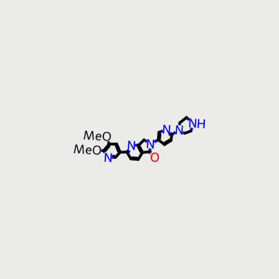 COc1cc(-c2ccc3c(n2)CN(c2ccc(N4CCNCC4)nc2)C3=O)cnc1OC